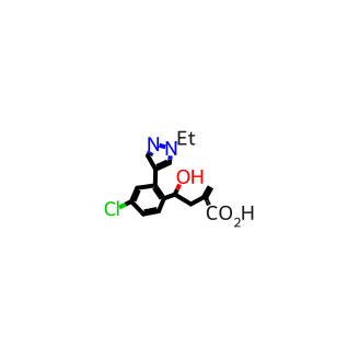 C=C(CC(O)c1ccc(Cl)cc1-c1cnn(CC)c1)C(=O)O